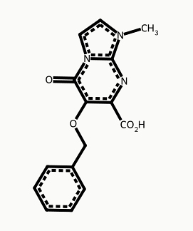 Cn1ccn2c(=O)c(OCc3ccccc3)c(C(=O)O)nc12